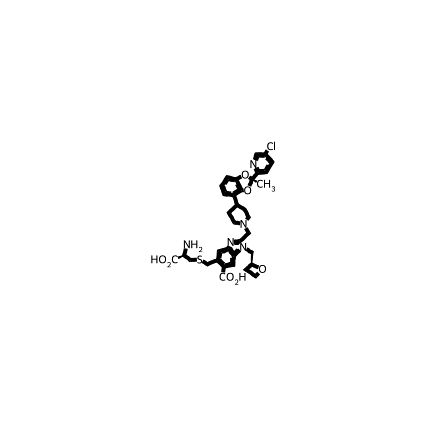 C[C@]1(c2ccc(Cl)cn2)Oc2cccc(C3CCN(Cc4nc5cc(CSC[C@H](N)C(=O)O)c(C(=O)O)cc5n4C[C@@H]4CCO4)CC3)c2O1